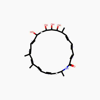 CC1=C\C=C\C(O)CC(O)C(O)C(O)C(C)/C=C/C=C/C=C/C(=O)NC(C)C/C=C\C=C\C(C)=C\1